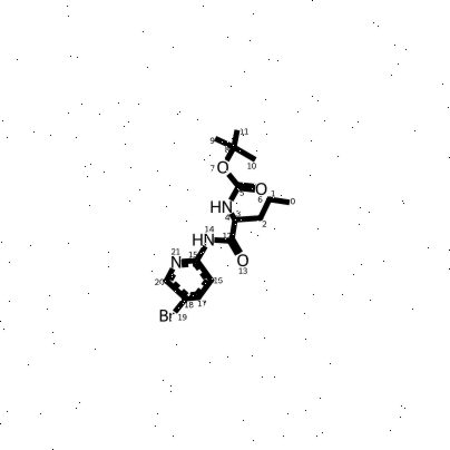 CCCC(NC(=O)OC(C)(C)C)C(=O)Nc1ccc(Br)cn1